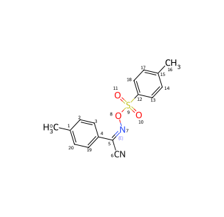 Cc1ccc(/C(C#N)=N\OS(=O)(=O)c2ccc(C)cc2)cc1